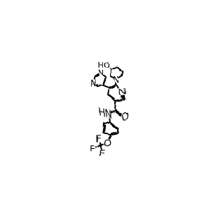 O=C(Nc1ccc(OC(F)(F)F)cc1)c1cnc(N2CCC[C@H](O)C2)c(-c2cncnc2)c1